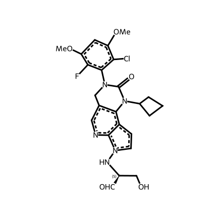 COc1cc(OC)c(Cl)c(N2Cc3cnc4c(ccn4N[C@H](C=O)CO)c3N(C3CCC3)C2=O)c1F